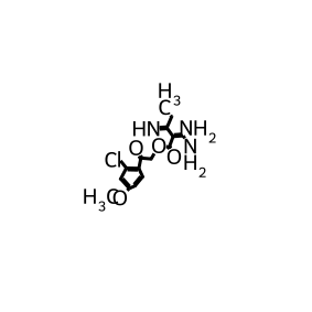 CCC(=N)C(C(=O)OCC(=O)c1ccc(OC)cc1Cl)=C(N)N